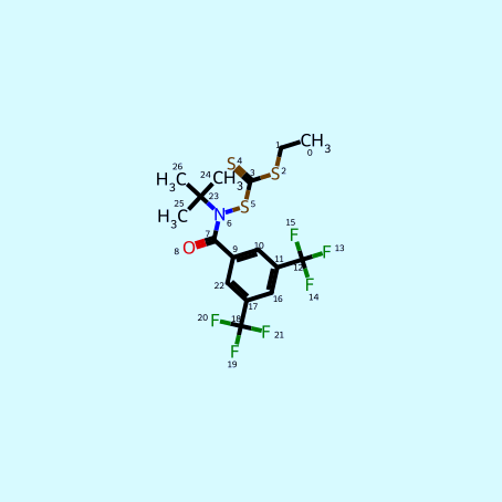 CCSC(=S)SN(C(=O)c1cc(C(F)(F)F)cc(C(F)(F)F)c1)C(C)(C)C